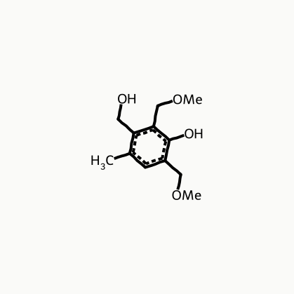 COCc1cc(C)c(CO)c(COC)c1O